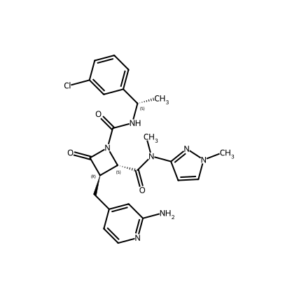 C[C@H](NC(=O)N1C(=O)[C@H](Cc2ccnc(N)c2)[C@H]1C(=O)N(C)c1ccn(C)n1)c1cccc(Cl)c1